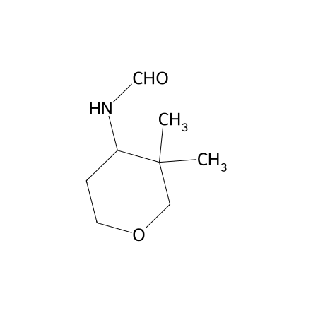 CC1(C)COCCC1NC=O